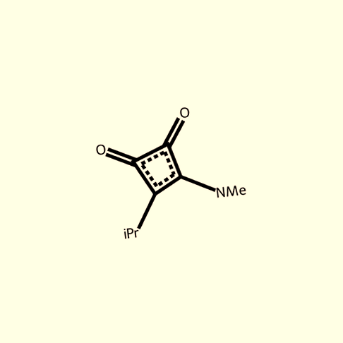 CNc1c(C(C)C)c(=O)c1=O